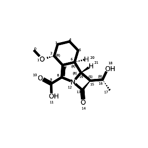 CO[C@@H]1CCC[C@@H]2C1=C(C(=O)O)N1C(=O)[C@H]([C@@H](C)O)[C@@H]21